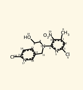 Cc1cc(Cl)nc(N(CCO)Cc2ccc(Cl)nc2)c1[N+](=O)[O-]